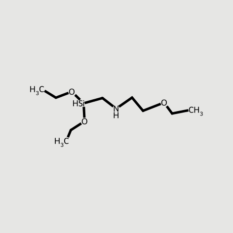 CCOCCNC[SiH](OCC)OCC